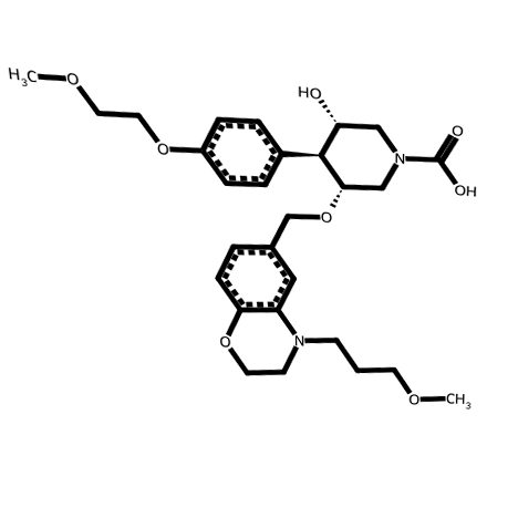 COCCCN1CCOc2ccc(CO[C@H]3CN(C(=O)O)C[C@@H](O)[C@@H]3c3ccc(OCCOC)cc3)cc21